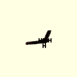 CCCCCCCCCCCCCCCCCCCCCCCCCCNC(CC)C(O)C(O)CCCCCCCCCCCCCC